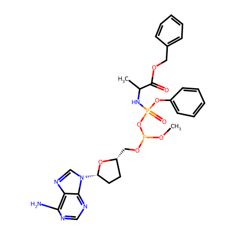 COP(OC[C@@H]1CC[C@H](n2cnc3c(N)ncnc32)O1)OP(=O)(NC(C)C(=O)OCc1ccccc1)Oc1ccccc1